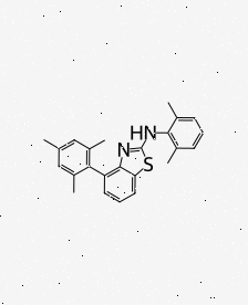 Cc1cc(C)c(-c2cccc3sc(Nc4c(C)cccc4C)nc23)c(C)c1